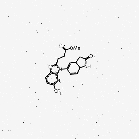 COC(=O)CCc1nc2ccc(C(F)(F)F)nc2n1C1=CC2CC(=O)NC2C=C1